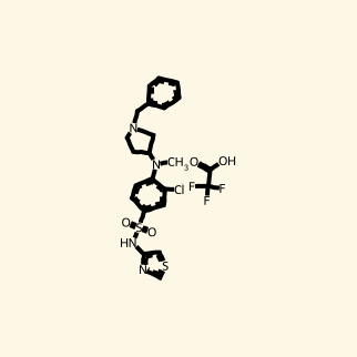 CN(c1ccc(S(=O)(=O)Nc2cscn2)cc1Cl)C1CCN(Cc2ccccc2)C1.O=C(O)C(F)(F)F